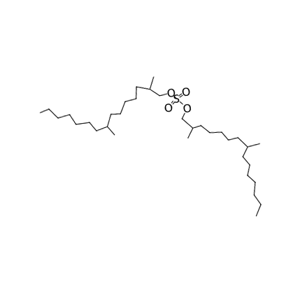 CCCCCCCC(C)CCCCCC(C)COS(=O)(=O)OCC(C)CCCCCC(C)CCCCCCC